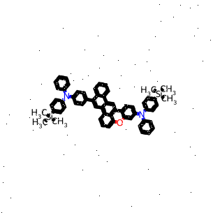 C[Si](C)(C)c1ccc(N(c2ccccc2)c2ccc(-c3cc4c5cccc6c5c(cc4c4ccccc34)-c3ccc(N(c4ccccc4)c4ccc([Si](C)(C)C)cc4)cc3O6)cc2)cc1